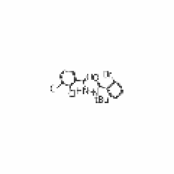 CC(C)(C)N(NC(=O)c1cccc(Cl)c1Cl)C(=O)c1ccccc1Br